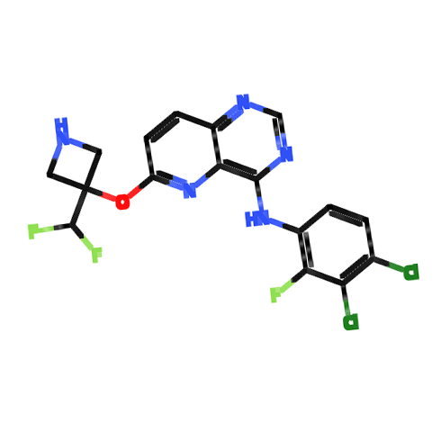 Fc1c(Nc2ncnc3ccc(OC4(C(F)F)CNC4)nc23)ccc(Cl)c1Cl